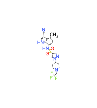 Cc1ccc(NS(=O)(=O)c2cnn(C3CCN(CC(F)(F)F)CC3)c2)c2[nH]cc(C#N)c12